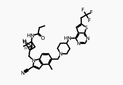 CCC(=O)NC12CC(Cn3c(C#N)cc4c(C)c(CN5CCC(Nc6ncnc7sc(CC(F)(F)F)cc67)CC5)ccc43)([C@@H]1C)[C@@H]2C